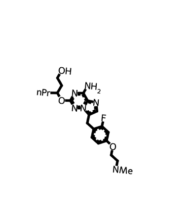 CCCC(CCO)Oc1nc(N)c2ncc(Cc3ccc(OCCNC)cc3F)n2n1